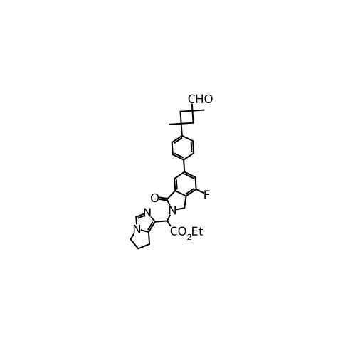 CCOC(=O)C(c1ncn2c1CCC2)N1Cc2c(F)cc(-c3ccc(C4(C)CC(C)(C=O)C4)cc3)cc2C1=O